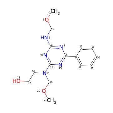 COCNc1nc(-c2ccccc2)nc(N(CCO)COC)n1